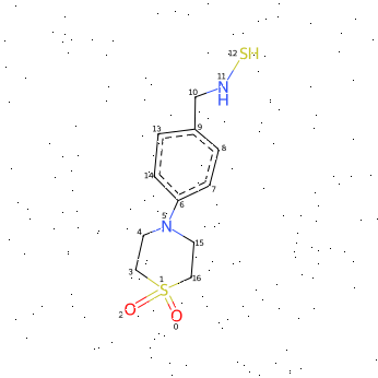 O=S1(=O)CCN(c2ccc(CNS)cc2)CC1